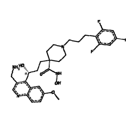 COc1ccc2ncc(CN)c([C@H](O)CCC3(C(=O)NO)CCN(CCCc4c(F)cc(F)cc4F)CC3)c2c1